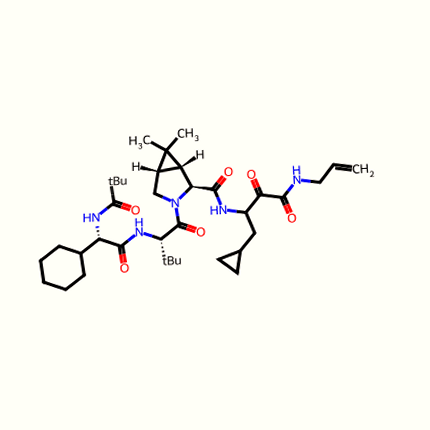 C=CCNC(=O)C(=O)C(CC1CC1)NC(=O)[C@@H]1[C@@H]2[C@H](CN1C(=O)[C@@H](NC(=O)[C@@H](NC(=O)C(C)(C)C)C1CCCCC1)C(C)(C)C)C2(C)C